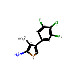 Nc1scc(-c2cc(F)c(Cl)c(F)c2)c1C(=O)O